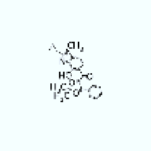 Cn1c(C2CC2)nc2c(O)c(C(=O)[C@@H]3OC(C)(C)O[C@H]3c3ccccc3)ccc21